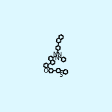 c1ccc(-c2nc(-c3ccc(-c4ccc5ccccc5c4)cc3)nc(-c3cccc4c(-c5cccc6oc7ccc(-c8ccc9c(c8)sc8ccccc89)cc7c56)cccc34)n2)cc1